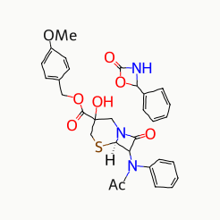 COc1ccc(COC(=O)C2(O)CS[C@@H]3C(N(C(C)=O)c4ccccc4)C(=O)N3C2)cc1.O=C1NC(c2ccccc2)O1